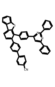 N#Cc1ccc(-c2ccc(-c3ccc4c(sc5ccccc54)c3-c3ccc(-c4cc(-c5ccccc5)nc(-c5ccccc5)n4)cc3)cc2)cc1